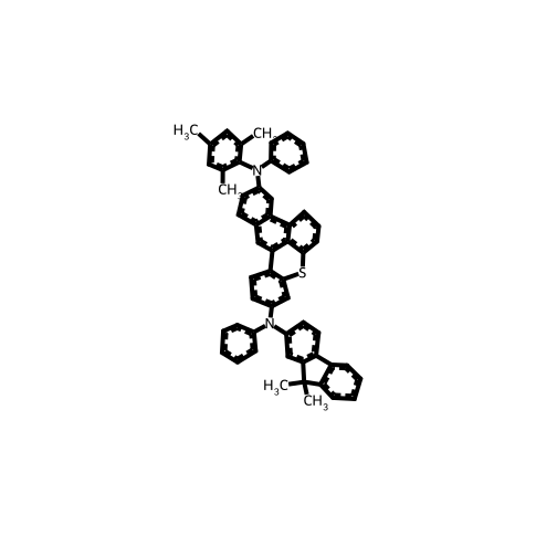 Cc1cc(C)c(N(c2ccccc2)c2ccc3cc4c5c(cccc5c3c2)Sc2cc(N(c3ccccc3)c3ccc5c(c3)C(C)(C)c3ccccc3-5)ccc2-4)c(C)c1